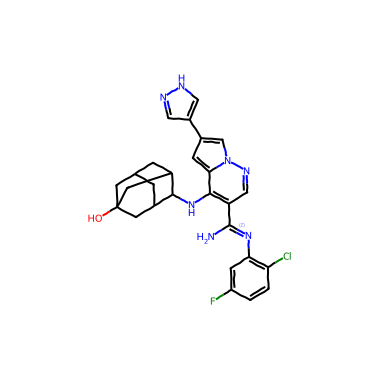 N/C(=N\c1cc(F)ccc1Cl)c1cnn2cc(-c3cn[nH]c3)cc2c1NC1C2CC3CC1CC(O)(C3)C2